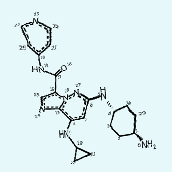 N[C@H]1CC[C@H](Nc2cc(NC3CC3)c3ncc(C(=O)Nc4ccncc4)n3n2)CC1